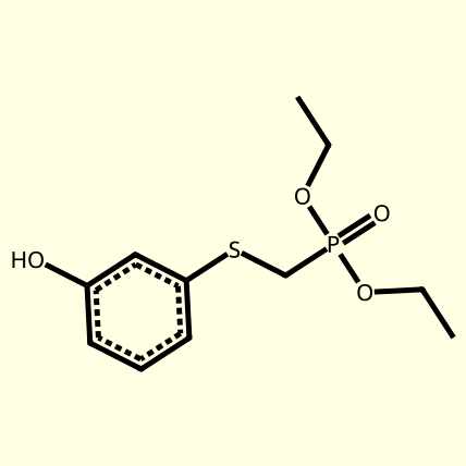 CCOP(=O)(CSc1cccc(O)c1)OCC